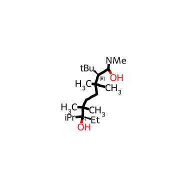 CC[C@@](O)(C(C)C)C(C)(C)CCC(C)(C)[C@H](C(O)NC)C(C)(C)C